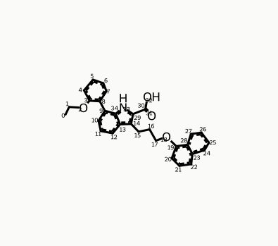 CCOc1ccccc1-c1cccc2c(CCCOc3cccc4ccccc34)c(C(=O)O)[nH]c12